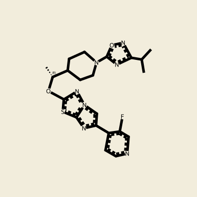 CC(C)c1noc(N2CCC([C@@H](C)Oc3nn4cc(-c5ccncc5F)nc4s3)CC2)n1